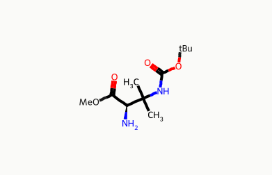 COC(=O)[C@H](N)C(C)(C)NC(=O)OC(C)(C)C